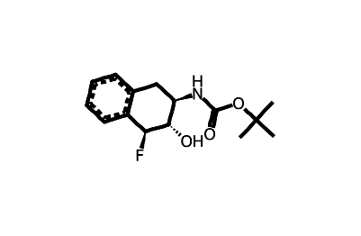 CC(C)(C)OC(=O)N[C@@H]1Cc2ccccc2[C@H](F)[C@H]1O